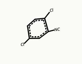 [C-]#[N+]c1cc(Cl)ccc1Cl